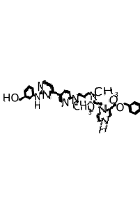 CN(CCCN(C)c1ccc(-c2ccnc(Nc3cccc(CO)c3)n2)cn1)C(=O)CN1CCNCC1C(=O)OCc1ccccc1